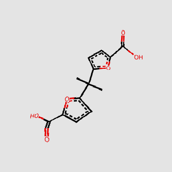 CC(C)(c1ccc(C(=O)O)o1)c1ccc(C(=O)O)o1